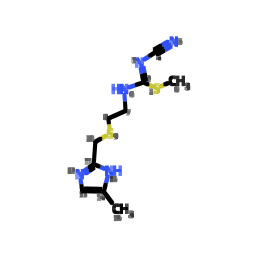 CSC(=NC#N)NCCSCc1ncc(C)[nH]1